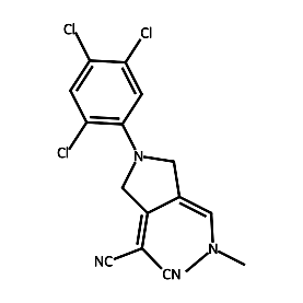 CN(C)/C=C1/CN(c2cc(Cl)c(Cl)cc2Cl)CC1=C(C#N)C#N